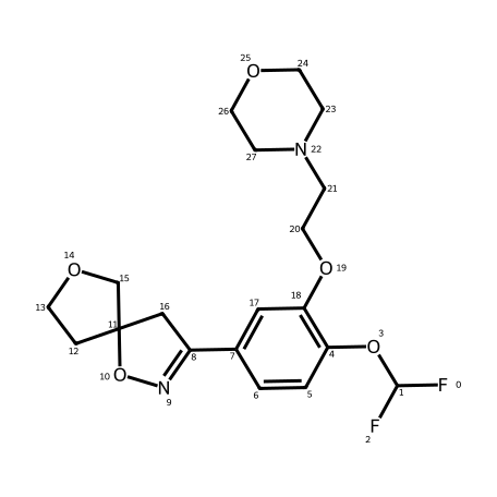 FC(F)Oc1ccc(C2=NOC3(CCOC3)C2)cc1OCCN1CCOCC1